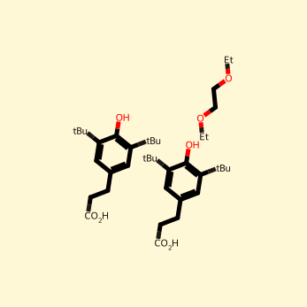 CC(C)(C)c1cc(CCC(=O)O)cc(C(C)(C)C)c1O.CC(C)(C)c1cc(CCC(=O)O)cc(C(C)(C)C)c1O.CCOCCOCC